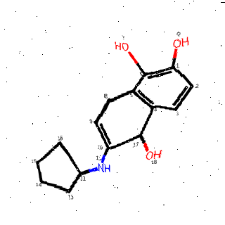 Oc1ccc2c(c1O)CC=C(NC1CCCC1)C2O